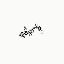 Cc1cc(N2CC(CNC(=O)c3ccc(Cl)s3)OC2=O)ccc1N1CCOCC1=O